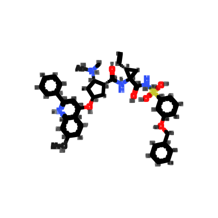 C=C[C@@H]1C[C@]1(NC(=O)[C@@H]1C[C@@H](Oc2cc(-c3ccccc3)nc3cc(OC)ccc23)C[C@@H]1N(C)C(C)=O)C(=O)NS(=O)(=O)c1cccc(OCc2ccccc2)c1